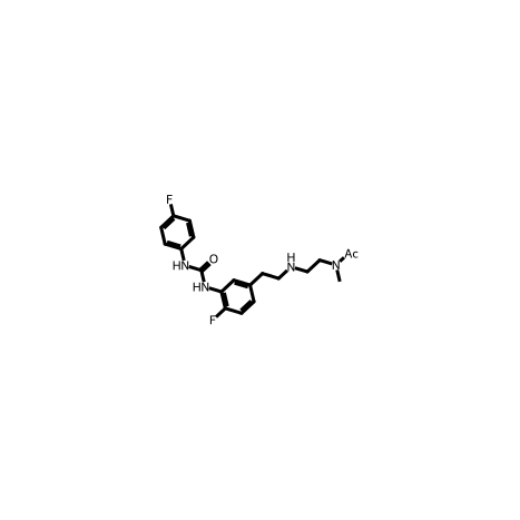 CC(=O)N(C)CCNCCc1ccc(F)c(NC(=O)Nc2ccc(F)cc2)c1